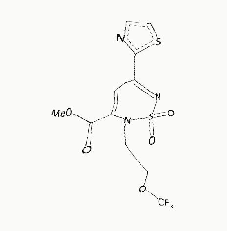 COC(=O)C1=CC(c2nccs2)=NS(=O)(=O)N1CCOC(F)(F)F